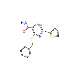 NC(=O)c1cnc(-c2cccs2)nc1SCc1ccccc1